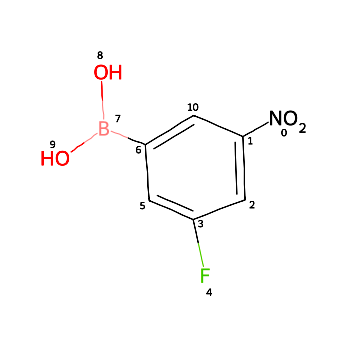 O=[N+]([O-])c1cc(F)cc(B(O)O)c1